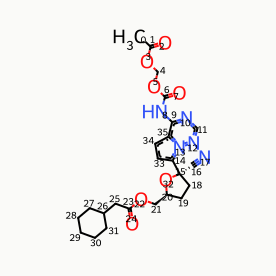 CC(=O)OCOC(=O)Nc1ncnn2c([C@@]3(C#N)CC[C@@H](COC(=O)CC4CCCCC4)O3)ccc12